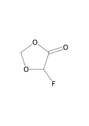 O=C1OCOC1F